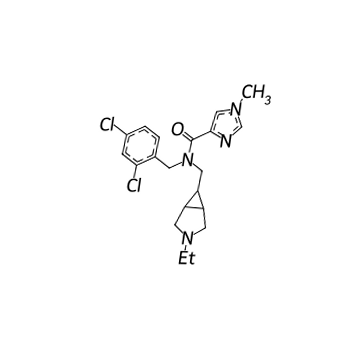 CCN1CC2C(C1)C2CN(Cc1ccc(Cl)cc1Cl)C(=O)c1cn(C)cn1